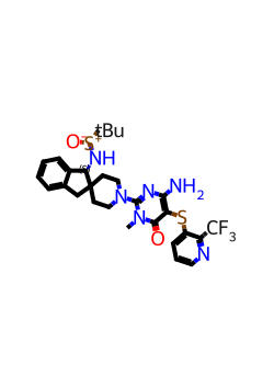 Cn1c(N2CCC3(CC2)Cc2ccccc2[C@H]3N[S+]([O-])C(C)(C)C)nc(N)c(Sc2cccnc2C(F)(F)F)c1=O